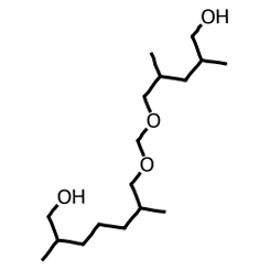 CC(CO)CCCC(C)COCOCC(C)CC(C)CO